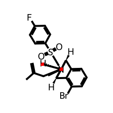 C=C(C)C[C@H]1[C@H]2c3c(Br)cccc3[C@H](CC2(C)C)N1S(=O)(=O)c1ccc(F)cc1